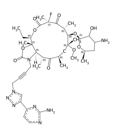 CC[C@H]1OC(=O)[C@@](C)(F)C(=O)[C@H](C)[C@@H](O[C@@H]2O[C@H](C)CC(N)C2O)[C@](C)(OC)C[C@@H](C)C(=O)[C@H](C)[C@H]2N(CC#CCn3cc(-c4ccnc(N)n4)nn3)C(=O)O[C@]12C